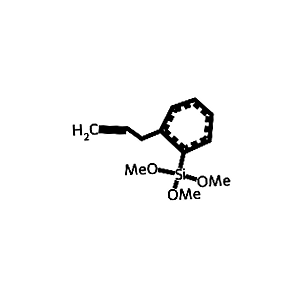 C=CCc1ccccc1[Si](OC)(OC)OC